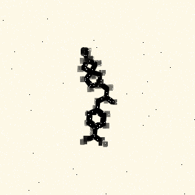 CC(Cc1ccc(C(F)F)cc1)CN1CCC2(C1)C[S+]([O-])C2